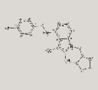 Cc1c(C)n(CC2OCCO2)c2ccnc(NCc3ccc(F)cc3)c12